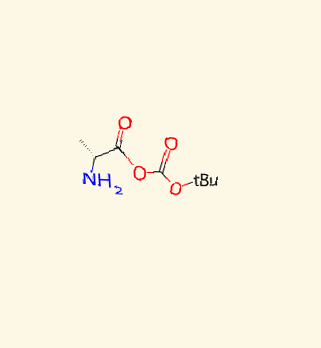 C[C@@H](N)C(=O)OC(=O)OC(C)(C)C